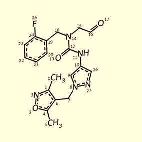 Cc1noc(C)c1Cn1cc(NC(=O)N(CC=O)Cc2ccccc2F)cn1